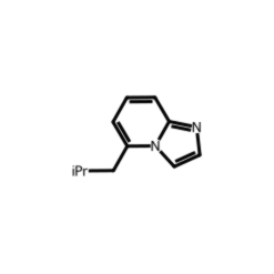 CC(C)Cc1cccc2nccn12